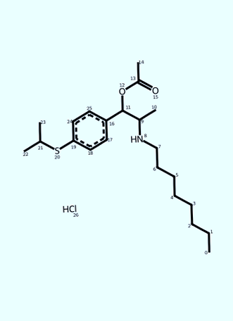 CCCCCCCCNC(C)C(OC(C)=O)c1ccc(SC(C)C)cc1.Cl